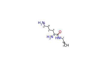 C#CCNC(=O)C(N)CCCCN